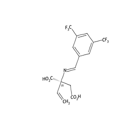 C=C[C@](CC(=O)O)(N=Cc1cc(C(F)(F)F)cc(C(F)(F)F)c1)C(=O)O